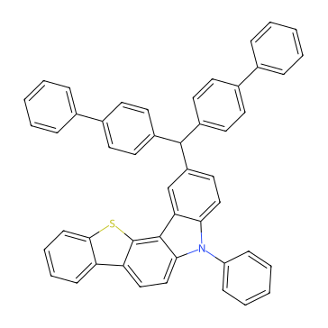 c1ccc(-c2ccc(C(c3ccc(-c4ccccc4)cc3)c3ccc4c(c3)c3c5sc6ccccc6c5ccc3n4-c3ccccc3)cc2)cc1